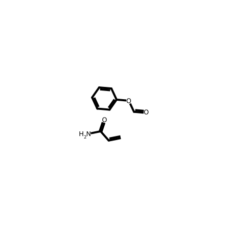 C=CC(N)=O.O=COc1ccccc1